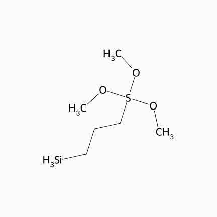 COS(CCC[SiH3])(OC)OC